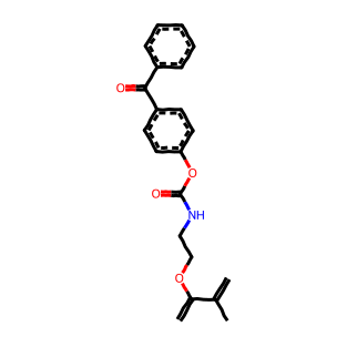 C=C(C)C(=C)OCCNC(=O)Oc1ccc(C(=O)c2ccccc2)cc1